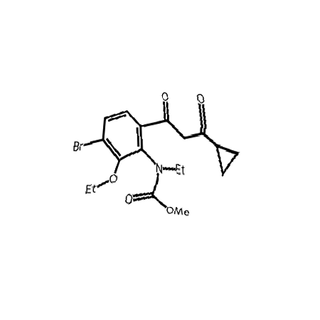 CCOc1c(Br)ccc(C(=O)CC(=O)C2CC2)c1N(CC)C(=O)OC